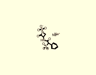 O=C(NC1CN(S(=O)(=O)[O-])C1=O)C(c1ccccc1)S(=O)(=O)[O-].[Na+].[Na+]